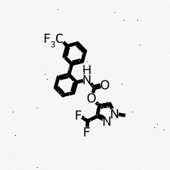 Cn1cc(OC(=O)Nc2ccccc2-c2cccc(C(F)(F)F)c2)c(C(F)F)n1